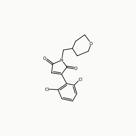 O=C1C=C(c2c(Cl)cccc2Cl)C(=O)N1CC1CCOCC1